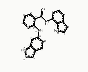 O=C(Nc1cccc2cc[nH]c12)c1cccnc1Nc1ccc2cn[nH]c2c1